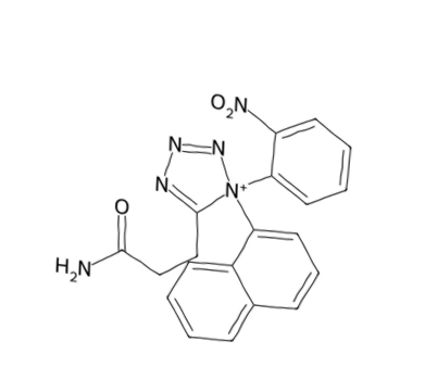 NC(=O)CCC1=NN=N[N+]1(c1ccccc1[N+](=O)[O-])c1cccc2ccccc12